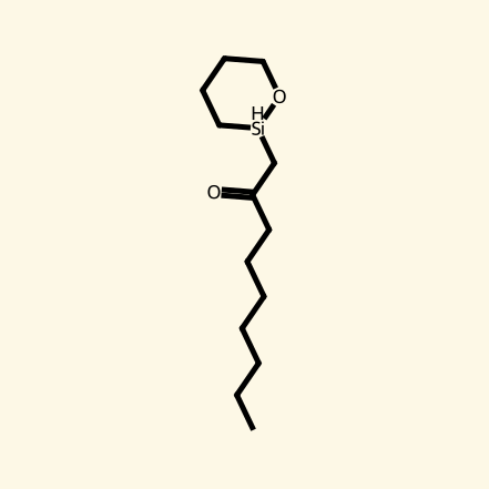 CCCCCCCC(=O)C[SiH]1CCCCO1